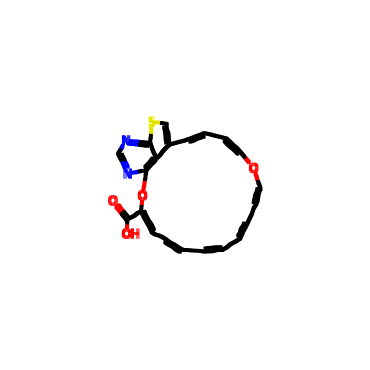 O=C(O)C1=CC=CC=CC=CC=COC=CC=Cc2csc3ncnc(c23)O1